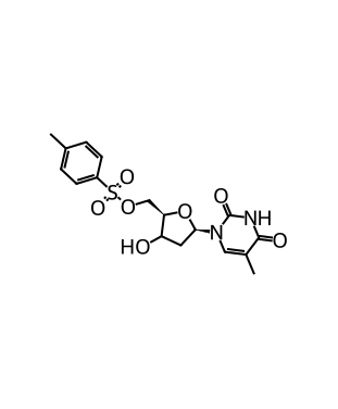 Cc1ccc(S(=O)(=O)OC[C@H]2O[C@@H](n3cc(C)c(=O)[nH]c3=O)CC2O)cc1